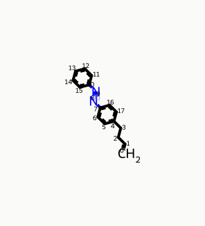 C=CCCc1ccc(/N=N/c2ccccc2)cc1